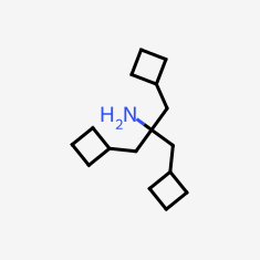 NC(CC1CCC1)(CC1CCC1)CC1CCC1